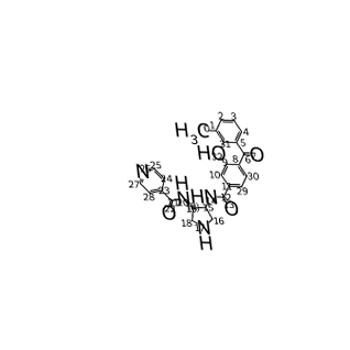 Cc1cccc(C(=O)c2ccc(C(=O)NC3CNC[C@H]3NC(=O)c3ccncc3)cc2)c1O